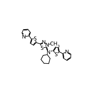 Cn1nc(-c2ccc(-c3ccccn3)s2)sc1=[N+](c1ccc(-c2ccccn2)s1)C1CCCCC1